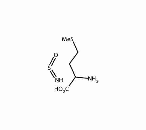 CSCCC(N)C(=O)O.N=S=O